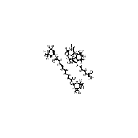 CC1(C)CC(C(CCCCCCCC(=O)O)(C(=O)O)C2CC(C)(C)NC(C)(C)C2)CC(C)(C)N1.CC1(C)CC(OC(=O)CCCCCCCCC(=O)OC2CC(C)(C)NC(C)(C)C2)CC(C)(C)N1